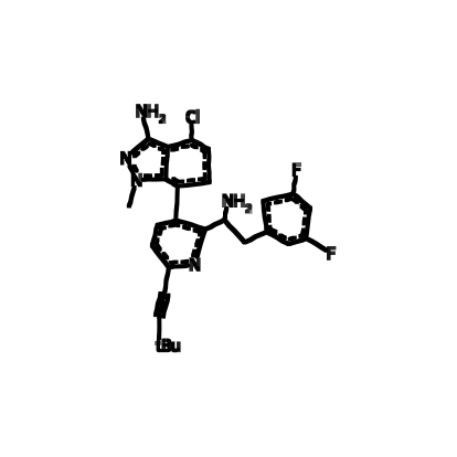 Cn1nc(N)c2c(Cl)ccc(-c3ccc(C#CC(C)(C)C)nc3C(N)Cc3cc(F)cc(F)c3)c21